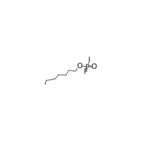 CCCCCCCOP(=O)(F)I